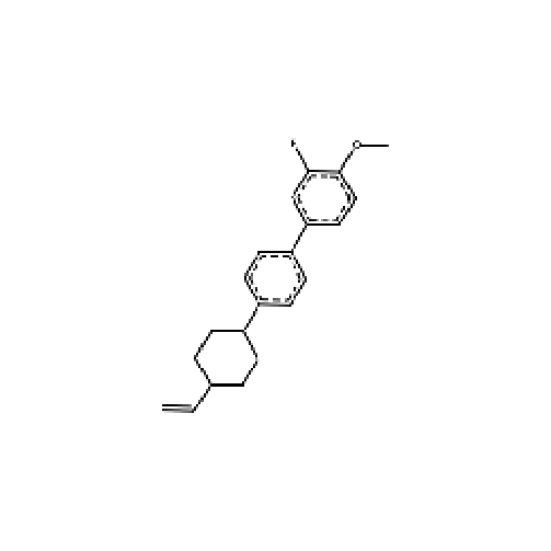 C=CC1CCC(c2ccc(-c3ccc(OC)c(F)c3)cc2)CC1